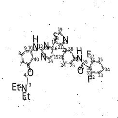 CCN(CC)CCOc1cccc(Nc2nccc(-c3scnc3-c3cccc(NC(=O)c4c(F)cccc4F)c3)n2)c1